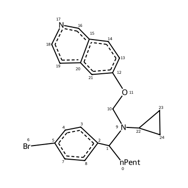 CCCCCC(c1ccc(Br)cc1)N(COc1ccc2cnccc2c1)C1CC1